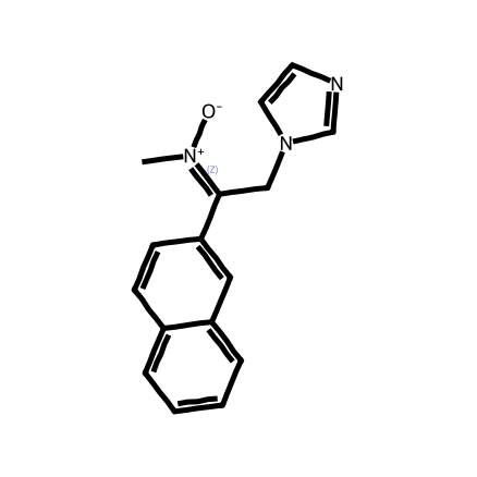 C/[N+]([O-])=C(/Cn1ccnc1)c1ccc2ccccc2c1